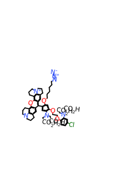 [N-]=[N+]=NCCCCCCOc1cc(OCCOc2ccc(Cl)cc2N(CC(=O)O)CC(=O)O)c(N(CC(=O)O)CC(=O)O)cc1C1=c2cc3c4c(c2Oc2c1cc1c5c2CCCN5CCC1)CCC[N+]=4CCC3